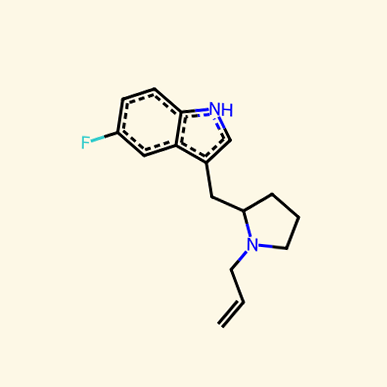 C=CCN1CCCC1Cc1c[nH]c2ccc(F)cc12